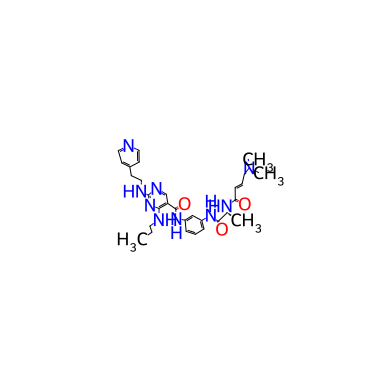 CCCNc1nc(NCCc2ccncc2)ncc1C(=O)Nc1cccc(NC(=O)[C@H](C)NC(=O)C=CCN(C)C)c1